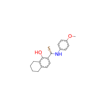 COc1ccc(NC(=S)c2ccc3c(c2O)CCCC3)cc1